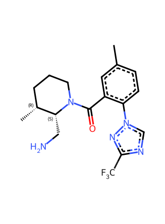 Cc1ccc(-n2cnc(C(F)(F)F)n2)c(C(=O)N2CCC[C@@H](C)[C@H]2CN)c1